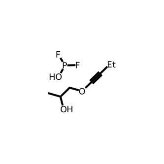 CCC#COCC(C)O.OP(F)F